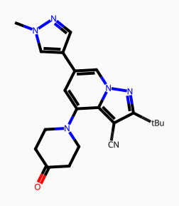 Cn1cc(-c2cc(N3CCC(=O)CC3)c3c(C#N)c(C(C)(C)C)nn3c2)cn1